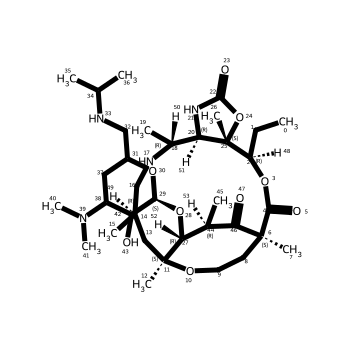 CC[C@H]1OC(=O)[C@@]2(C)CCO[C@@](C)(C[C@@H](C)CN[C@H](C)[C@H]3NC(=O)O[C@@]31C)[C@H](O[C@@H]1OC(CNC(C)C)CC(N(C)C)C1O)[C@@H](C)C2=O